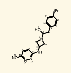 CC(C)c1ccc(CC(O)N2CC(Nc3ccc(C#N)nn3)C2)cc1